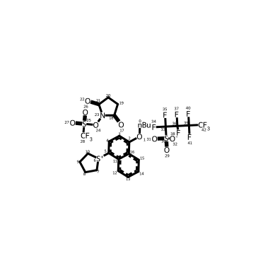 CCCCOc1ccc([S+]2CCCC2)c2ccccc12.O=C1CCC(=O)N1OS(=O)(=O)C(F)(F)F.O=S(=O)([O-])C(F)(F)C(F)(F)C(F)(F)C(F)(F)F